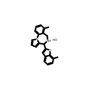 Cc1cccc2c1CNC(c1cc3cccc(C)c3o1)c1cccn1-2.Cl